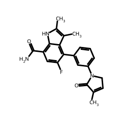 CC1=CCN(c2cccc(-c3c(F)cc(C(N)=O)c4[nH]c(C)c(C)c34)c2)C1=O